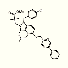 COC(=O)C(C)(C)Cc1c2c3c(c(SCc4ccc(-c5ccccc5)cn4)ccc3n1Cc1ccc(Cl)cc1)CC(C)S2